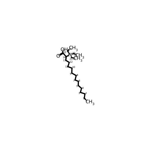 CCCCCCCCCCCCCCC(C(=O)O)[N+](CC)(CC)CC